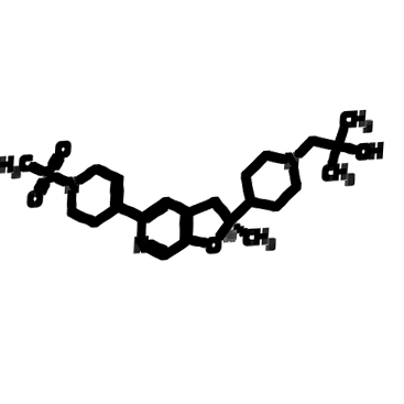 CC(C)(O)CN1CCC([C@]2(C)Cc3cc(C4=CCN(S(C)(=O)=O)CC4)ncc3O2)CC1